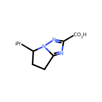 CC(C)C1CCc2nc(C(=O)O)nn21